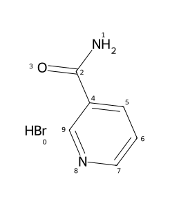 Br.NC(=O)c1cccnc1